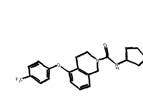 O=C(NC1CCCC1)N1CCc2c(cccc2Oc2ccc(C(F)(F)F)cc2)C1